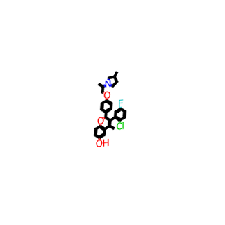 CC1=C(c2cc(F)ccc2Cl)C(c2ccc(OCC(C)N3CCC(C)C3)cc2)Oc2ccc(O)cc21